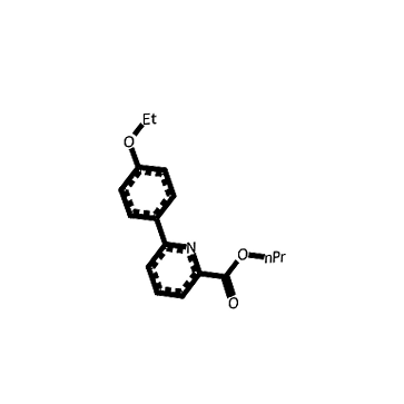 CCCOC(=O)c1cccc(-c2ccc(OCC)cc2)n1